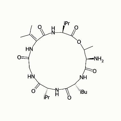 CCC(C)[C@H]1NC(=O)[C@H](N)C(C)OC(=O)[C@H](C(C)C)NC(=O)C(=C(C)C)NC(=O)CNC(=O)[C@@H](C(C)C)NC1=O